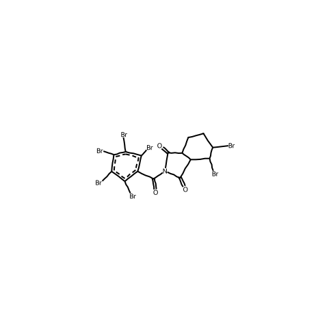 O=C(c1c(Br)c(Br)c(Br)c(Br)c1Br)N1C(=O)C2CCC(Br)C(Br)C2C1=O